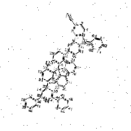 N#Cc1ccc2c(c1)c1cc(-c3ccc4c(c3)C(c3ccccc3)(c3ccccc3)c3cc(-c5cc(-c6ccccc6)nc(-c6ccccc6)c5)ccc3O4)ccc1n2-c1ccccc1